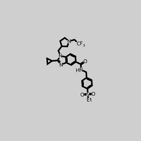 CCS(=O)(=O)c1ccc(CNC(=O)c2ccc3c(c2)nc(C2CC2)n3CC2CCN(CC(F)(F)F)C2)cc1